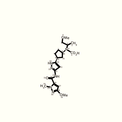 COCC(C)N(C(=O)O)[C@@H]1CC[C@H](c2cc(NC(=O)c3cc(OC)nn3C)n[nH]2)C1